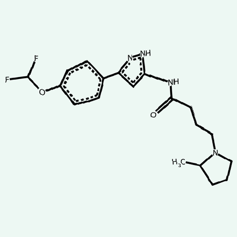 CC1CCCN1CCCC(=O)Nc1cc(-c2ccc(OC(F)F)cc2)n[nH]1